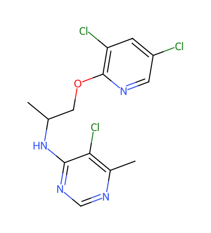 Cc1ncnc(NC(C)COc2ncc(Cl)cc2Cl)c1Cl